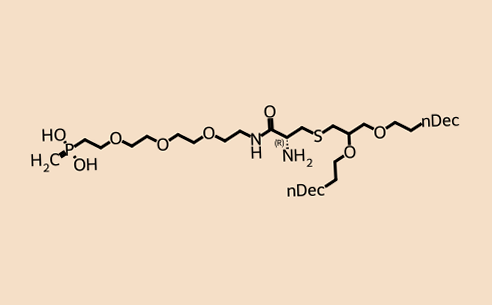 C=P(O)(O)CCOCCOCCOCCNC(=O)[C@@H](N)CSCC(COCCCCCCCCCCCC)OCCCCCCCCCCCC